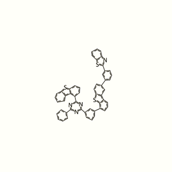 c1ccc(-c2nc(-c3cccc(-c4cccc5c4sc4ccc(-c6cccc(-c7nc8ccccc8s7)c6)cc45)c3)nc(-c3cccc4sc5ccccc5c34)n2)cc1